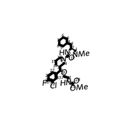 CNC[C@H](CC1CCCCC1)NC(=O)N1CCC[C@@H]([C@@H](OCCNC(=O)OC)c2ccc(F)c(Cl)c2)C1